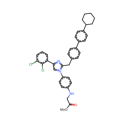 COC(=O)CNc1ccc(-n2cc(-c3cccc(Cl)c3Cl)nc2Cc2ccc(-c3ccc(C4CCCCC4)cc3)cc2)cc1